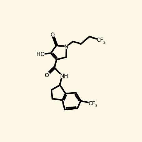 O=C(NC1CCc2ccc(C(F)(F)F)cc21)C1=C(O)C(=O)N(CCCC(F)(F)F)C1